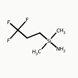 C[Si](C)(N)CCC(F)(F)F